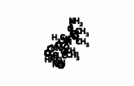 Cc1c(-c2ccc(N3CCc4cccc(C(=O)Nc5nc6cccnc6s5)c4C3)nc2C(=O)OC(C)(C)C)cnn1CC12CC3(C)CC(C)(C1)CC(OCCN)(C3)C2